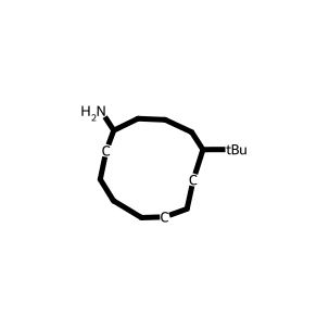 CC(C)(C)C1CCCCCCCC(N)CCC1